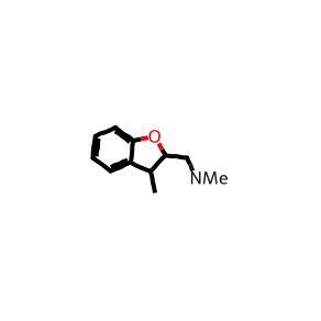 CNCC1Oc2ccccc2C1C